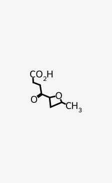 CC1CC(C(=O)CCC(=O)O)O1